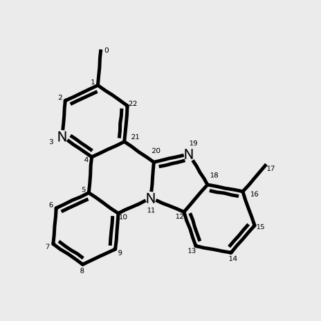 Cc1cnc2c3ccccc3n3c4cccc(C)c4nc3c2c1